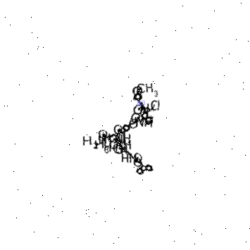 COc1ccc(/C=C/C(=O)N2CC(CCl)c3c2cc(NC(=O)OCc2ccc(NC(=O)C(CCCNC(N)=O)NC(=O)C(NC(=O)CCCCCNC(=O)OCC4c5ccccc5-c5ccccc54)C(C)C)cc2)c2ccccc32)cc1